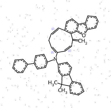 C=C1/C=C\C(N(c2ccc(-c3ccccc3)cc2)c2ccc3c(c2)C(C)(C)c2ccccc2-3)=C/C/C=C\c2ccc3c(oc4ccccc43)c21